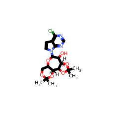 CC1(C)OCC2OC(n3ccc4c(Cl)ncnc43)C(O)[C@H]3OC(C)(C)OC3[C@@H]2O1